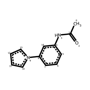 CC(=O)Nc1cccc(-n2cccc2)c1